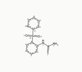 NC(=S)Nc1ccccc1S(=O)(=O)c1ccccn1